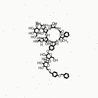 CC(c1ccccc1)C1NC(=O)CNC(=O)C(CO)NC(=O)C(C(O)C2CNC(=N)N2C2OC(CO)C(O)C(O)C2O)NC(=O)C(C(O)C2CNC(=N)N2)NC(=O)C(Cc2ccc(OC3OC(CO)C(OC4OC(COCc5ccc(OCc6ccccc6)cc5)C(O)C(O)C4O)C(O)C3O)cc2)NC1=O